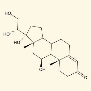 C[C@]12CCC(=O)C=C1CCC1C2[C@@H](O)C[C@@]2(C)C1CC[C@]2(O)[C@H](O)CO